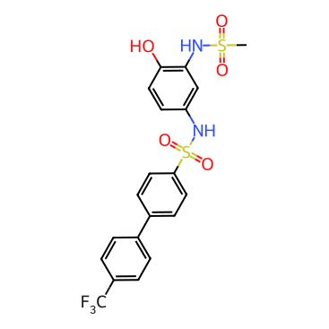 CS(=O)(=O)Nc1cc(NS(=O)(=O)c2ccc(-c3ccc(C(F)(F)F)cc3)cc2)ccc1O